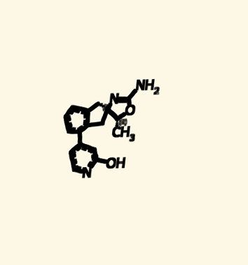 C[C@H]1OC(N)=N[C@@]12Cc1cccc(-c3ccnc(O)c3)c1C2